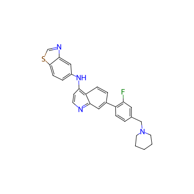 Fc1cc(CN2CCCCC2)ccc1-c1ccc2c(Nc3ccc4scnc4c3)ccnc2c1